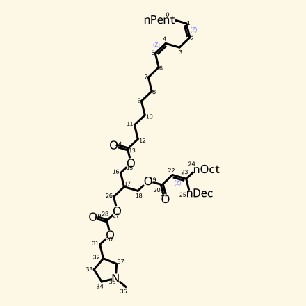 CCCCC/C=C\C/C=C\CCCCCCCC(=O)OCC(COC(=O)/C=C(/CCCCCCCC)CCCCCCCCCC)COC(=O)OCC1CCN(C)C1